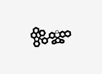 c1ccc(C2(c3cccc(-c4ccc5c(c4)C4(c6cc7ccccc7cc6O5)c5ccccc5-c5ccccc54)c3)c3ccccc3-c3ccc4ccccc4c32)cc1